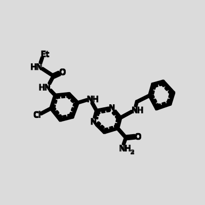 CCNC(=O)Nc1cc(Nc2ncc(C(N)=O)c(NCc3ccccc3)n2)ccc1Cl